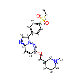 CCS(=O)(=O)c1ccc(-c2cnc3ccc(OCC4CCCN(C)C4)nn23)cc1